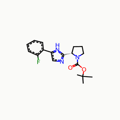 CC(C)(C)OC(=O)N1CCC[C@H]1c1ncc(-c2ccccc2F)[nH]1